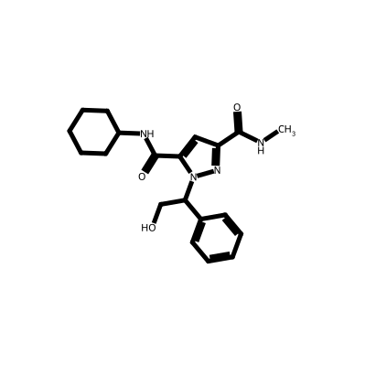 CNC(=O)c1cc(C(=O)NC2CCCCC2)n(C(CO)c2ccccc2)n1